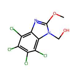 COc1nc2c(Cl)c(Cl)c(Cl)c(Cl)c2n1CO